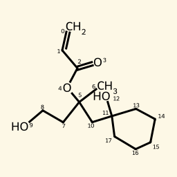 C=CC(=O)OC(C)(CCO)CC1(O)CCCCC1